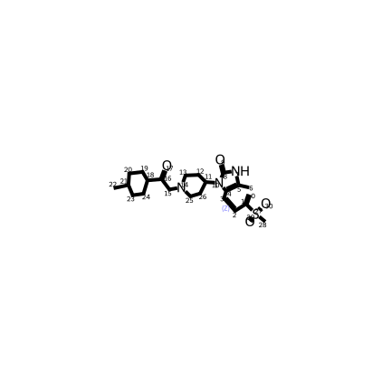 C=C(/C=C\c1c(C)[nH]c(=O)n1C1CCN(CC(=O)C2CCC(C)CC2)CC1)S(C)(=O)=O